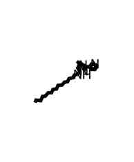 CCCCCCCCCCCCCCCCNc1cc(C)nc(-c2cccnc2)n1